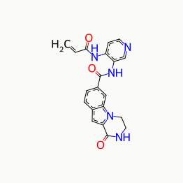 C=CC(=O)Nc1ccncc1NC(=O)c1ccc2cc3n(c2c1)CCNC3=O